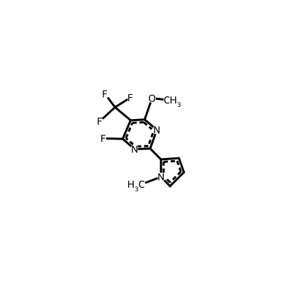 COc1nc(-c2cccn2C)nc(F)c1C(F)(F)F